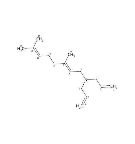 C=CCN(CC=C)C/C=C(\C)CCC=C(C)C